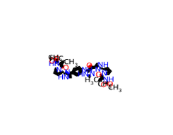 COC(=O)N[C@H](C(=O)N1CCC[C@H]1c1nc(C(=O)c2nc[nH]c2Nc2ccc(-c3c[nH]c([C@@H]4CCCN4C(=O)[C@@H](NC(=O)OC)C(C)C)n3)cc2)c[nH]1)C(C)C